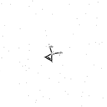 CC[CH2][Ge]1([CH2]CC)[CH]=[CH]1